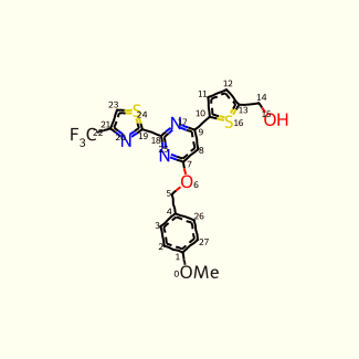 COc1ccc(COc2cc(-c3ccc(CO)s3)nc(-c3nc(C(F)(F)F)cs3)n2)cc1